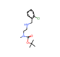 CN(CCNCc1ccccc1Cl)C(=O)OC(C)(C)C